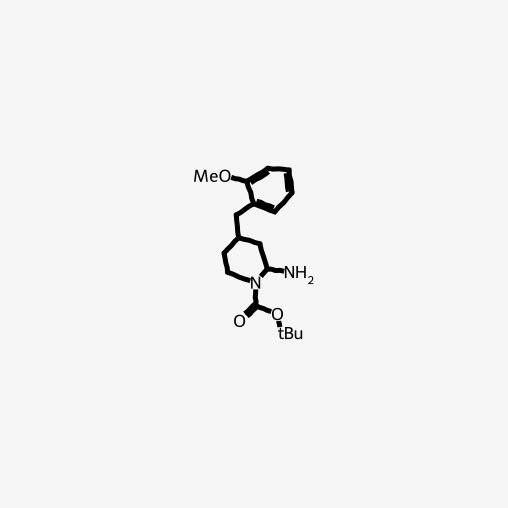 COc1ccccc1CC1CCN(C(=O)OC(C)(C)C)C(N)C1